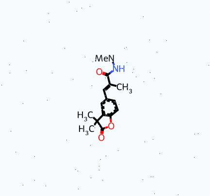 CNNC(=O)/C(C)=C/c1ccc2c(c1)C(C)(C)C(=O)O2